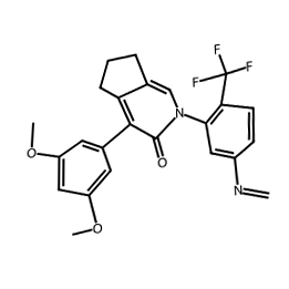 C=Nc1ccc(C(F)(F)F)c(-n2cc3c(c(-c4cc(OC)cc(OC)c4)c2=O)CCC3)c1